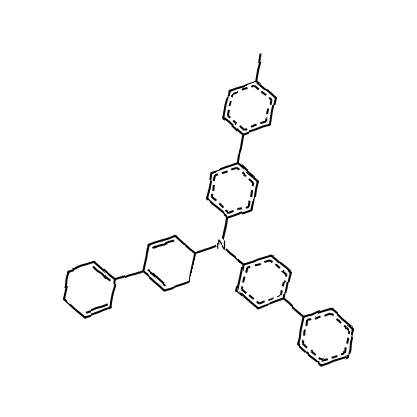 Cc1ccc(-c2ccc(N(c3ccc(-c4ccccc4)cc3)C3C=CC(C4=CCCC=C4)=CC3)cc2)cc1